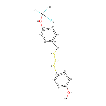 COc1ccc(SSSCc2ccc(OC(F)(F)F)cc2)cc1